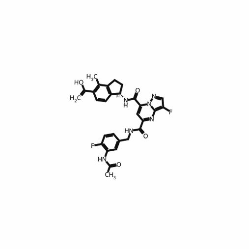 C=C(O)c1ccc2c(c1C)CC[C@@H]2NC(=O)c1cc(C(=O)NCc2ccc(F)c(NC(C)=O)c2)nc2c(F)cnn12